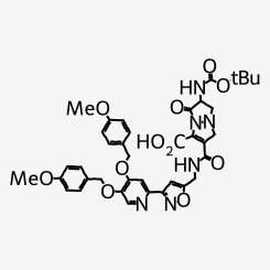 COc1ccc(COc2cnc(-c3cc(CNC(=O)C4=C(C(=O)O)N5C(=O)C(NC(=O)OC(C)(C)C)CN5C4)on3)cc2OCc2ccc(OC)cc2)cc1